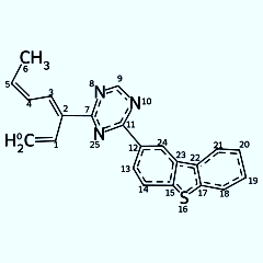 C=C/C(=C\C=C/C)c1ncnc(-c2ccc3sc4ccccc4c3c2)n1